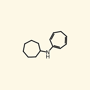 C1=CCC=CC(NC2CCCCCC2)=C1